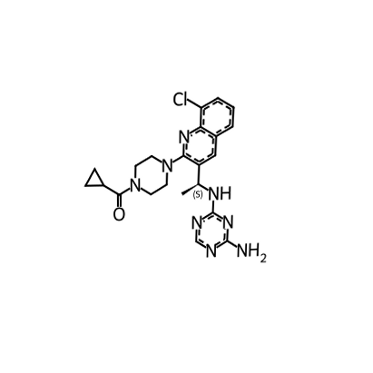 C[C@H](Nc1ncnc(N)n1)c1cc2cccc(Cl)c2nc1N1CCN(C(=O)C2CC2)CC1